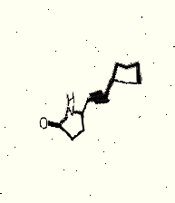 O=C1CCC(C#CC2CCC2)N1